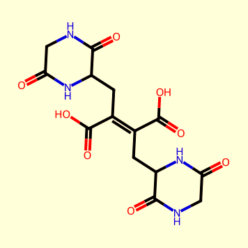 O=C1CNC(=O)C(C/C(C(=O)O)=C(/CC2NC(=O)CNC2=O)C(=O)O)N1